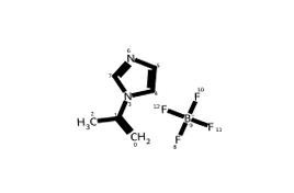 C=C(C)n1ccnc1.F[B-](F)(F)F